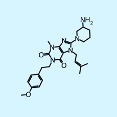 COc1ccc(CCn2c(=O)c3c(nc(N4CCCC(N)C4)n3CC=C(C)C)n(C)c2=O)cc1